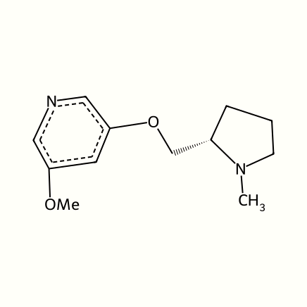 COc1cncc(OC[C@@H]2CCCN2C)c1